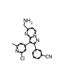 Cc1cc(-c2c(-c3cccc(C#N)c3)nn3ccc(CN)nc23)cc(Cl)n1